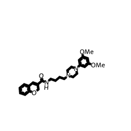 COc1cc(OC)cc(N2CCN(CCCCNC(=O)C3=Cc4ccccc4OC3)CC2)c1